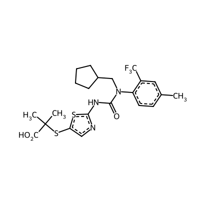 Cc1ccc(N(CC2CCCC2)C(=O)Nc2ncc(SC(C)(C)C(=O)O)s2)c(C(F)(F)F)c1